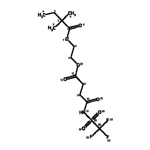 CCC(C)(C)C(=O)OCCOC(=O)CCC(=O)NS(=O)(=O)C(F)(F)F